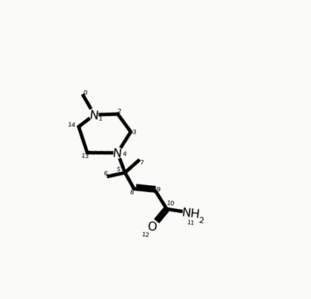 CN1CCN(C(C)(C)C=CC(N)=O)CC1